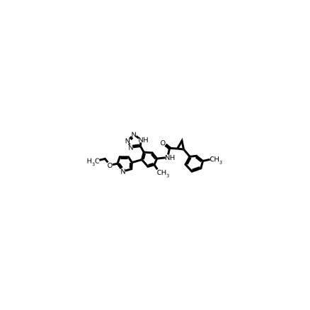 CCOc1ccc(-c2cc(C)c(NC(=O)C3CC3c3cccc(C)c3)cc2-c2nnn[nH]2)cn1